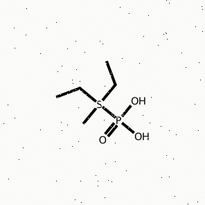 CCS(C)(CC)P(=O)(O)O